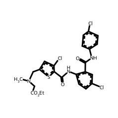 CCOC(=O)CN(C)Cc1cc(Cl)c(C(=O)Nc2ccc(Cl)cc2C(=O)Nc2ccc(Cl)cc2)s1